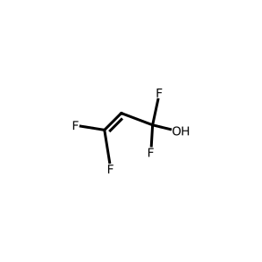 OC(F)(F)C=C(F)F